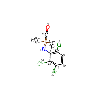 CS(C)(=C=O)=Nc1c(Cl)ccc(Br)c1Cl